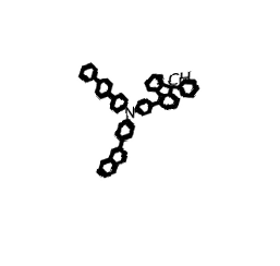 CC1(c2ccccc2)c2ccccc2-c2c(-c3ccc(N(c4ccc(-c5ccc(-c6ccccc6)cc5)cc4)c4ccc(-c5ccc6ccccc6c5)cc4)cc3)cccc21